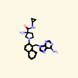 Nc1ncnc2c1ncn2Cc1c(N2CCC(N)(C(=O)NC3CC3)C2)ccc2ccccc12